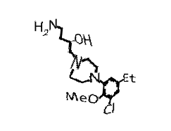 CCc1cc(Cl)c(OC)c(N2CCN(C[C@@H](O)CCN)CC2)c1